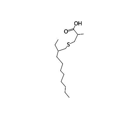 CCCCCCCCC(CC)CSCC(C)C(=O)O